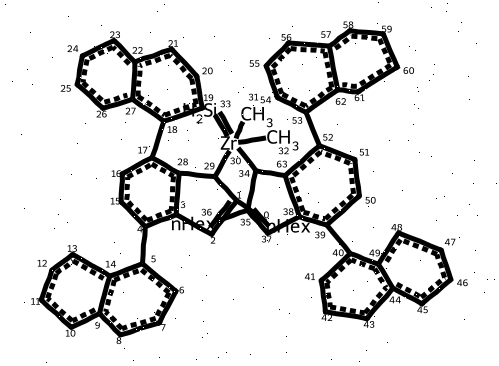 CCCCCCC1=Cc2c(-c3cccc4ccccc34)ccc(-c3cccc4ccccc34)c2[CH]1[Zr]([CH3])([CH3])(=[SiH2])[CH]1C(CCCCCC)=Cc2c(-c3cccc4ccccc34)ccc(-c3cccc4ccccc34)c21